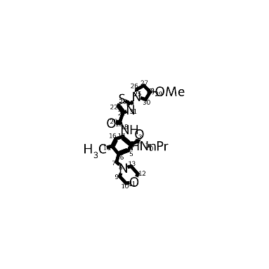 CCCNC(=O)c1cc(CN2CCOCC2)c(C)cc1NC(=O)c1csc(N2CC[C@H](OC)C2)n1